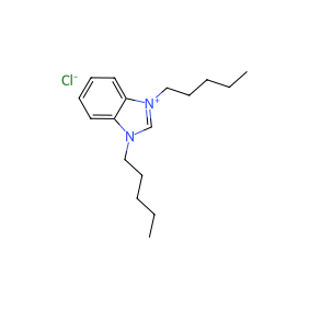 CCCCCn1c[n+](CCCCC)c2ccccc21.[Cl-]